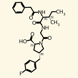 CC[C@H](C)[C@H](NC(=O)Cc1ccccc1)C(=O)NCC(=O)N1C[C@H](Cc2ccc(F)cc2)C[C@H]1C(=O)O